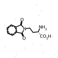 N[C@@H](CCN1C(=O)c2ccccc2C1=O)C(=O)O